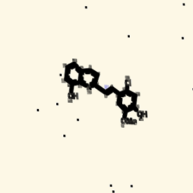 COc1cc(/C=C/c2ccc3cccc(O)c3n2)c(Cl)cc1O